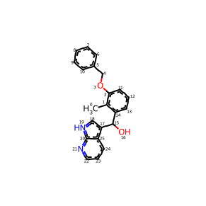 Cc1c(OCc2ccccc2)cccc1C(O)c1c[nH]c2ncccc12